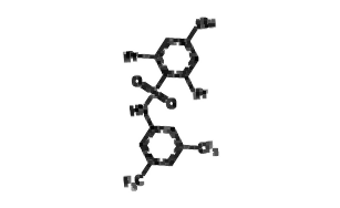 CC(C)c1cc(C(C)(C)C)cc(C(C)C)c1S(=O)(=O)Nc1cc(C(F)(F)F)cc(C(F)(F)F)c1